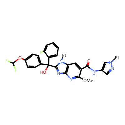 CCn1cc(NC(=O)c2cc3c(nc2OC)nc(C(O)(c2ccc(OC(F)F)cc2)c2ccccc2F)n3CC)cn1